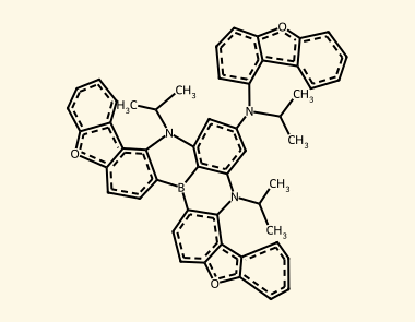 CC(C)N(c1cc2c3c(c1)N(C(C)C)c1c(ccc4oc5ccccc5c14)B3c1ccc3oc4ccccc4c3c1N2C(C)C)c1cccc2oc3ccccc3c12